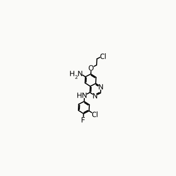 Nc1cc2c(Nc3ccc(F)c(Cl)c3)ncnc2cc1OCCCl